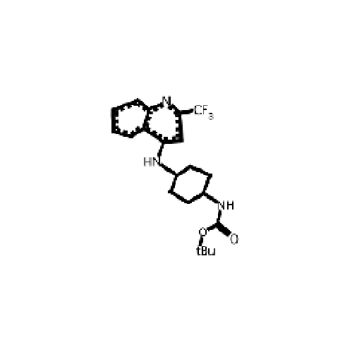 CC(C)(C)OC(=O)NC1CCC(Nc2cc(C(F)(F)F)nc3ccccc23)CC1